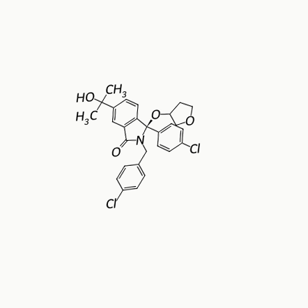 CC(C)(O)c1ccc2c(c1)C(=O)N(Cc1ccc(Cl)cc1)[C@@]2(OC1CCOC1)c1ccc(Cl)cc1